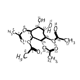 CC(=O)OC1C(OC(C)=O)[C@H](O)[C@H](O)C(OC(C)=O)[C@@H]1OC(C)=O